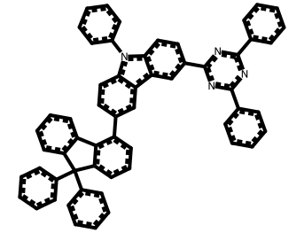 c1ccc(-c2nc(-c3ccccc3)nc(-c3ccc4c(c3)c3cc(-c5cccc6c5-c5ccccc5C6(c5ccccc5)c5ccccc5)ccc3n4-c3ccccc3)n2)cc1